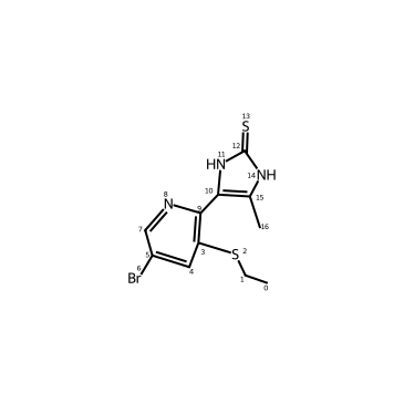 CCSc1cc(Br)cnc1-c1[nH]c(=S)[nH]c1C